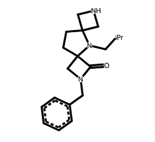 CC(C)CN1C2(CCC13CN(Cc1ccccc1)C3=O)CNC2